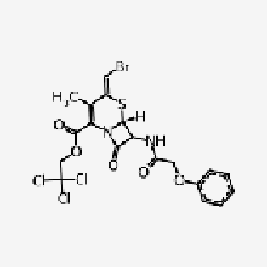 CC1=C(C(=O)OCC(Cl)(Cl)Cl)N2C(=O)C(NC(=O)COc3ccccc3)[C@H]2S/C1=C\Br